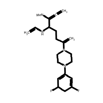 C=C=C(NC)C(CCC(=C)N1CCN(C2=CC(F)CC(F)=C2)CC1)NC=C